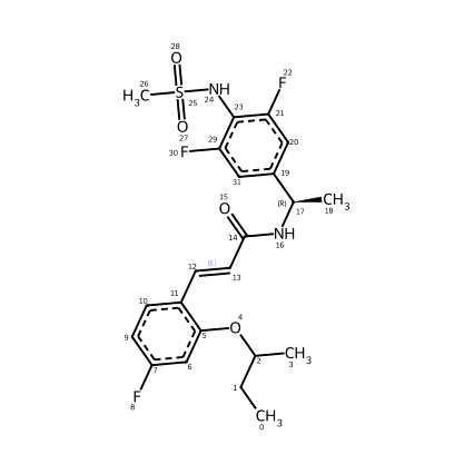 CCC(C)Oc1cc(F)ccc1/C=C/C(=O)N[C@H](C)c1cc(F)c(NS(C)(=O)=O)c(F)c1